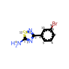 Nc1nc(-c2cccc(Br)c2)ns1